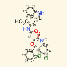 CN1C(=O)[C@@H](CC(=O)N[C@@H](Cc2c[nH]c3ccccc23)C(=O)O)O[C@H](c2ccccc2Cl)c2cc(Cl)ccc21